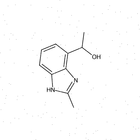 Cc1nc2c(C(C)O)cccc2[nH]1